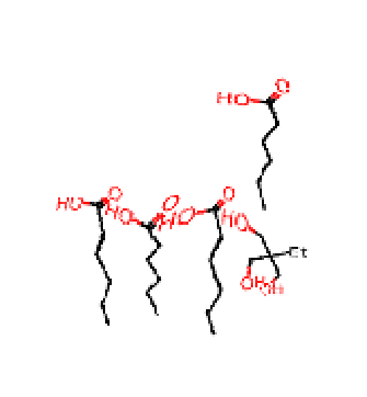 CCC(CO)(CO)CO.CCCCCC(=O)O.CCCCCC(=O)O.CCCCCC(=O)O.CCCCCC(=O)O